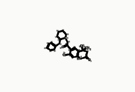 CC1(C)CC(=O)Nc2cc(Cl)c(C(=O)CN3CCCCC3Cc3ccccc3)cc21